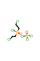 O=P(Cl)(CCCl)CCCl.O=P(Cl)(Cl)Cl